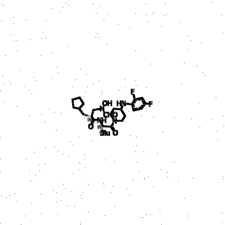 CC(C)(C)[C@H](NC(=O)[C@H](CC1CCCC1)CN(O)C=O)C(=O)N1CCC(Nc2ccc(F)cc2F)CC1